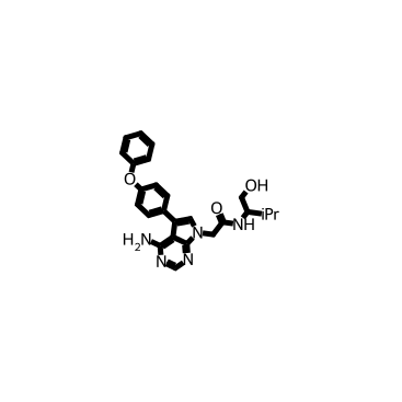 CC(C)C(CO)NC(=O)Cn1cc(-c2ccc(Oc3ccccc3)cc2)c2c(N)ncnc21